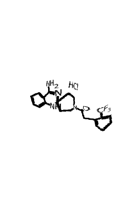 Cl.NC1=NC2(CCN(C(=O)Cc3ccccc3C(F)(F)F)CC2)Nc2ccccc21